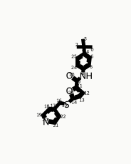 CC(C)(C)c1ccc(NC(=O)c2ccc(SCc3ccncc3)o2)cc1